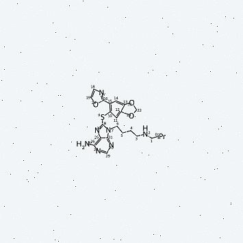 CC(C)CNCCCCn1c(Sc2cc3c(cc2-c2ncco2)OCO3)nc2c(N)ncnc21